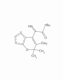 CCCCC(=O)C(=N)C1=C(OC(C)=O)C(C)(C)Oc2ccsc21